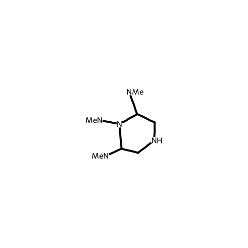 CNC1CNCC(NC)N1NC